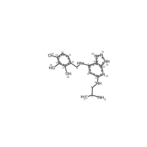 CC(N)CNc1nc(NCc2ccc(Cl)c(O)c2O)c2nn[nH]c2n1